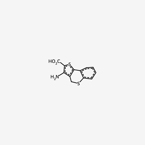 Nc1c(C(=O)O)sc2c1CSc1ccccc1-2